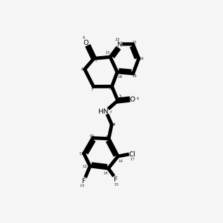 O=C1CCC(C(=O)NCc2ccc(F)c(F)c2Cl)c2cccnc21